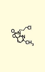 Cc1ccc2oc(=O)n(CCCCl)c2n1